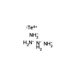 [NH2-].[NH2-].[NH2-].[NH2-].[Te+4]